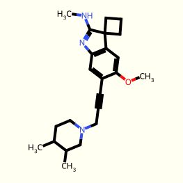 CNC1=Nc2cc(C#CCN3CCC(C)C(C)C3)c(OC)cc2C12CCC2